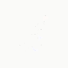 CC(CC(=N)C1CCCC1)N1CCc2cc(O)ccc2[C@@H]1C=O